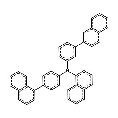 c1cc(-c2ccc3ccccc3c2)cc(N(c2ccc(-c3cccc4ccccc34)cc2)c2cccc3ccccc23)c1